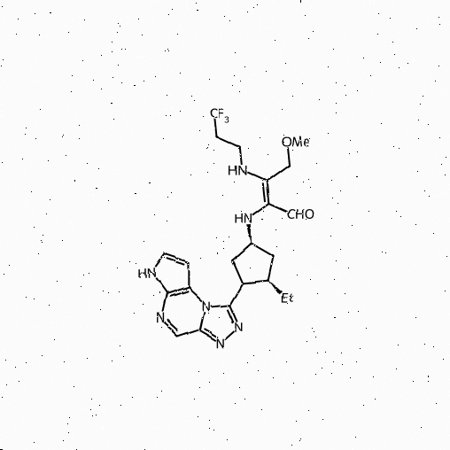 CC[C@@H]1C[C@H](N/C(C=O)=C(/COC)NCCC(F)(F)F)CC1c1nnc2cnc3[nH]ccc3n12